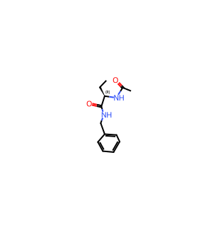 CC[C@@H](NC(C)=O)C(=O)NCc1ccccc1